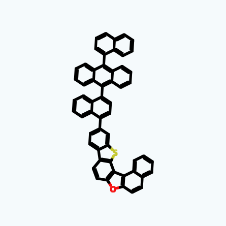 c1ccc2c(-c3c4ccccc4c(-c4ccc(-c5ccc6c(c5)sc5c6ccc6oc7ccc8ccccc8c7c65)c5ccccc45)c4ccccc34)cccc2c1